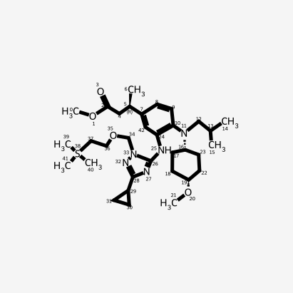 COC(=O)C[C@@H](C)c1ccc(N(CC(C)C)[C@H]2CC[C@@H](OC)CC2)c(Nc2nc(C3CC3)nn2COCCS(C)(C)C)c1